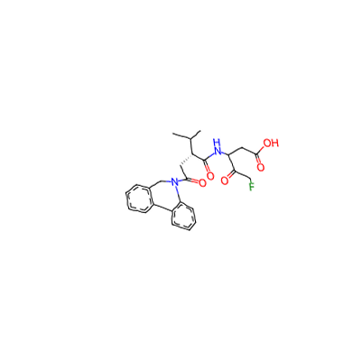 CC(C)[C@@H](CC(=O)N1Cc2ccccc2-c2ccccc21)C(=O)NC(CC(=O)O)C(=O)CF